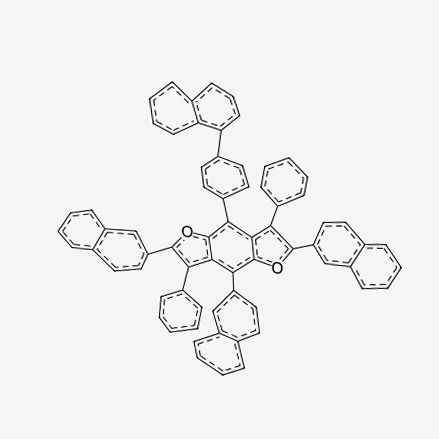 c1ccc(-c2c(-c3ccc4ccccc4c3)oc3c(-c4ccc5ccccc5c4)c4c(-c5ccccc5)c(-c5ccc6ccccc6c5)oc4c(-c4ccc(-c5cccc6ccccc56)cc4)c23)cc1